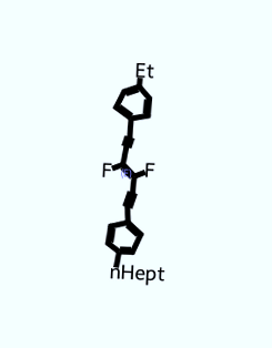 CCCCCCCc1ccc(C#C/C(F)=C(\F)C#Cc2ccc(CC)cc2)cc1